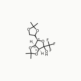 CC1(C)OCC([C@H]2OC(O)(C(F)(F)F)[C@H]3OC(C)(C)O[C@@H]23)O1